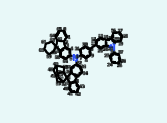 C1=CC2c3cc(N(c4ccc(-c5ccc6c7ccccc7n(-c7ccccc7)c6c5)cc4)c4ccc5c(c4)C4(c6ccccc6-5)C5CC6CC(C5)CC4C6)ccc3C3(CCCCC3)C2C=C1